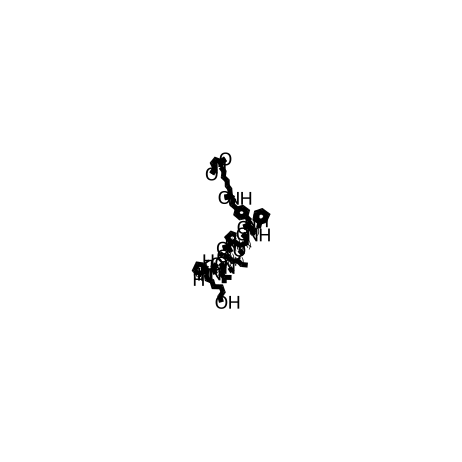 CC[C@H](C)[C@@H]([C@@H](CC(=O)N1CCC[C@H]1[C@H](OC)[C@@H](C)C(=O)N[C@@H](Cc1ccccc1)C(=O)Nc1ccc(CNC(=O)CCCCCN2C(=O)C=CC2=O)cc1)OC)N(C)C(=O)[C@@H](NC(=O)[C@@H]1[C@H]2CC[C@@H](C2)N1CCCCCCO)C(C)C